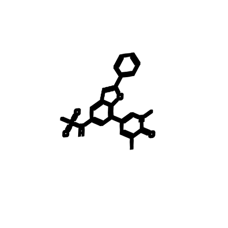 Cc1cc(-c2cc(NS(C)(=O)=O)cc3cc(-c4ccccc4)oc23)cn(C)c1=O